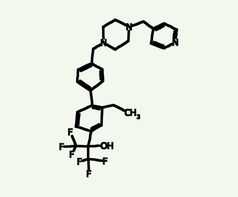 CCc1cc(C(O)(C(F)(F)F)C(F)(F)F)ccc1-c1ccc(CN2CCN(Cc3ccncc3)CC2)cc1